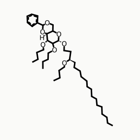 CCCCCCCCCCCCCCC[C@H](CCO[C@H]1OC2COC(c3ccccc3)O[C@@H]2[C@H](OCCCC)C1OCCCC)OCCCC